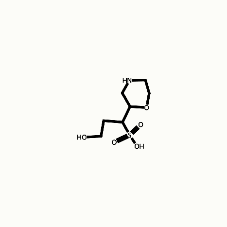 O=S(=O)(O)C(CCO)C1CNCCO1